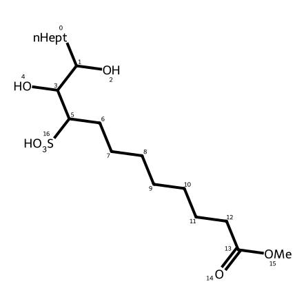 CCCCCCCC(O)C(O)C(CCCCCCCC(=O)OC)S(=O)(=O)O